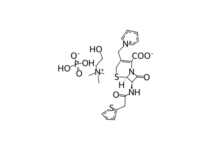 C[N+](C)(C)CCO.O=C(Cc1cccs1)N[C@@H]1C(=O)N2C(C(=O)[O-])=C(C[n+]3ccccc3)CS[C@H]12.O=P([O-])(O)O